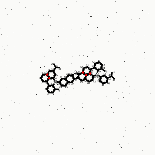 Cc1cccc(-c2ccccc2)c1N(c1cccc(C(C)C)c1)c1ccc2cc3c(cc2c1)oc1cc2cc(N(c4cccc(C(C)C)c4)c4c(C)cccc4-c4ccccc4)ccc2cc13